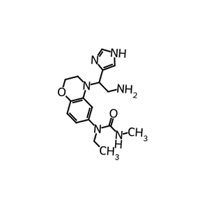 CCN(C(=O)NC)c1ccc2c(c1)N(C(CN)c1c[nH]cn1)CCO2